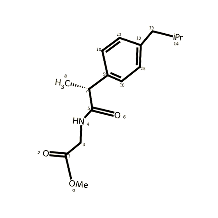 COC(=O)CNC(=O)[C@H](C)c1ccc(CC(C)C)cc1